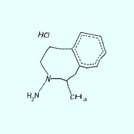 CC1c2ccccc2CCN1N.Cl